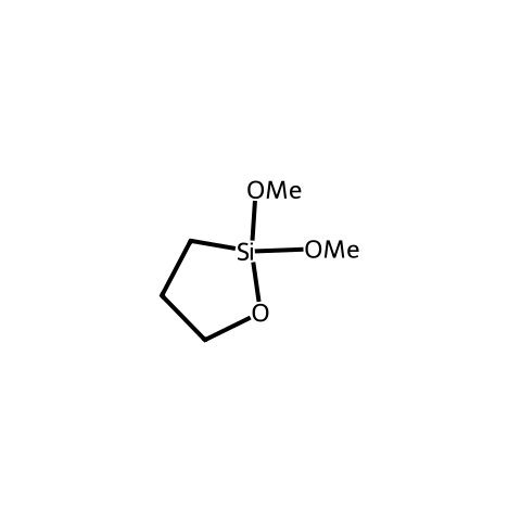 CO[Si]1(OC)CCCO1